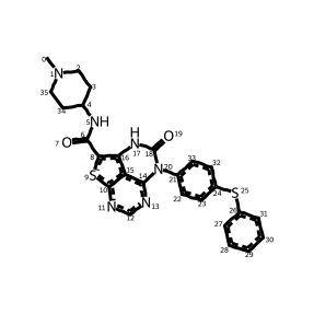 CN1CCC(NC(=O)c2sc3ncnc4c3c2NC(=O)N4c2ccc(Sc3ccccc3)cc2)CC1